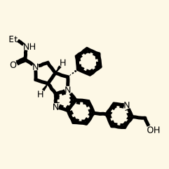 CCNC(=O)N1C[C@H]2[C@@H](C1)c1nc3ccc(-c4ccc(CO)nc4)cc3n1[C@H]2c1ccccc1